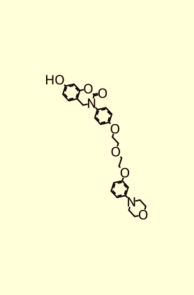 O=C1Oc2cc(O)ccc2CN1c1ccc(OCCOCCOc2cccc(N3CCOCC3)c2)cc1